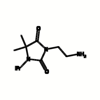 CC(C)N1C(=O)N(CCN)C(=O)C1(C)C